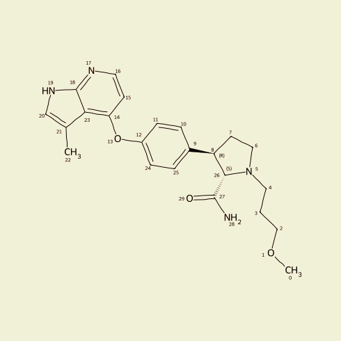 COCCCN1CC[C@H](c2ccc(Oc3ccnc4[nH]cc(C)c34)cc2)[C@H]1C(N)=O